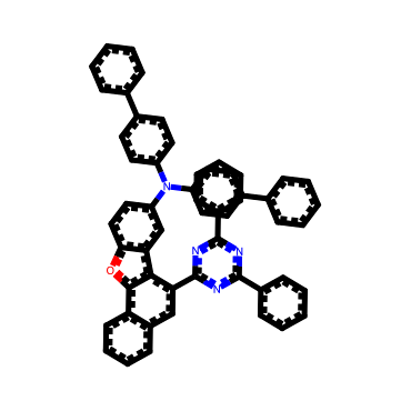 c1ccc(-c2ccc(N(c3ccc(-c4ccccc4)cc3)c3ccc4oc5c6ccccc6cc(-c6nc(-c7ccccc7)nc(-c7ccccc7)n6)c5c4c3)cc2)cc1